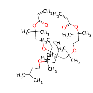 C=CC(=O)OC(C)(C)CCOC(C)(C)CC(CC)(CC(C)(C)OCCC(C)C)C(C)(CC)OCCC(C)(C)OC(=O)C=C